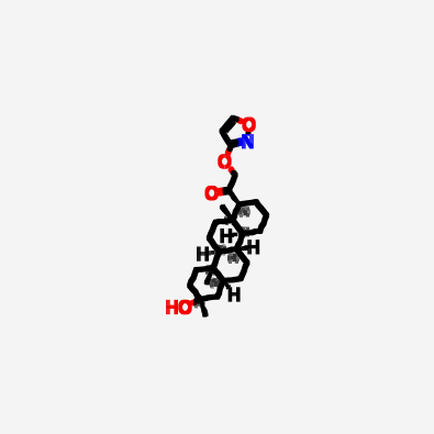 C[C@@]1(O)CC[C@@]2(C)[C@@H](CC[C@@H]3[C@@H]2CC[C@]2(C)[C@@H](C(=O)COc4ccon4)CCC[C@@H]32)C1